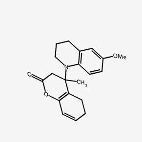 COc1ccc2c(c1)CCCN2C1(C)CC(=O)OC2=C1CCC=C2